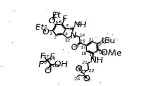 CCOc1cc2c(c(F)c1OCC)C(=N)N(CC(=O)c1cc(NCCS(C)(=O)=O)c(OC)c(C(C)(C)C)c1)C2.O=C(O)C(F)(F)F